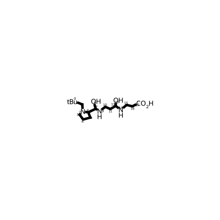 CC(C)(C)CN1CCCC1C(O)NCCC(O)NCCC(=O)O